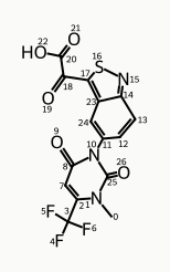 Cn1c(C(F)(F)F)cc(=O)n(-c2ccc3nsc(C(=O)C(=O)O)c3c2)c1=O